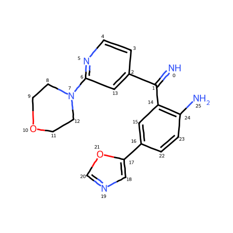 N=C(c1ccnc(N2CCOCC2)c1)c1cc(-c2cnco2)ccc1N